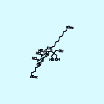 CC(=O)O.CCCCCCCCCCCCCCCCCCOC(CCCCCCCCCCCCCCCCCC)C(CO)(CO)CO.OP(O)OP(O)O